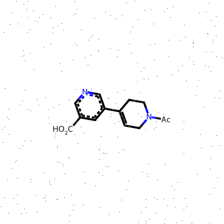 CC(=O)N1CC=C(c2cncc(C(=O)O)c2)CC1